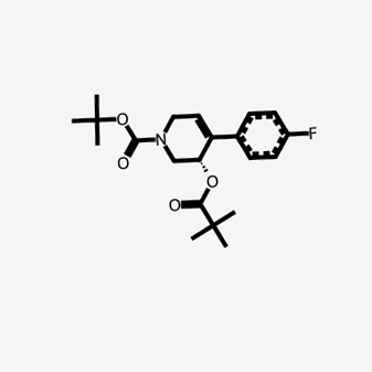 CC(C)(C)OC(=O)N1CC=C(c2ccc(F)cc2)[C@H](OC(=O)C(C)(C)C)C1